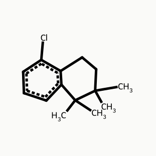 CC1(C)CCc2c(Cl)cccc2C1(C)C